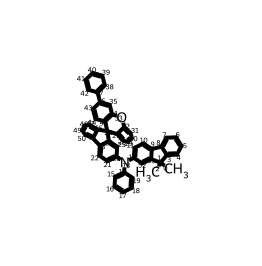 CC1(C)c2ccccc2-c2ccc(N(c3ccccc3)c3ccc4c(c3)C3(c5ccccc5Oc5cc(-c6ccccc6)ccc53)c3ccccc3-4)cc21